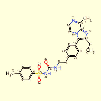 CCc1nc2c(C)nccn2c1-c1ccc(CCNC(=O)NS(=O)(=O)c2ccc(C)cc2)cc1